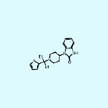 CCC(CC)(c1cccs1)N1CCC(n2c(=O)[nH]c3ccccc32)CC1